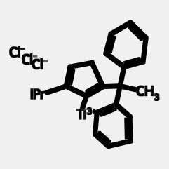 CC(C)C1=CCC(C(C)(c2ccccc2)c2ccccc2)=[C]1[Ti+3].[Cl-].[Cl-].[Cl-]